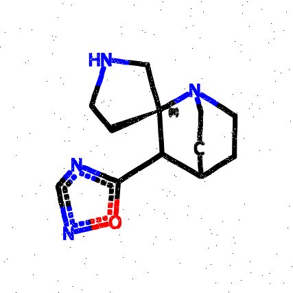 c1noc(C2C3CCN(CC3)[C@]23CCNC3)n1